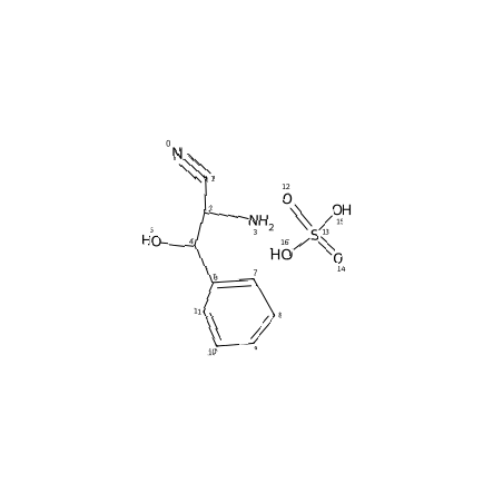 N#CC(N)C(O)c1ccccc1.O=S(=O)(O)O